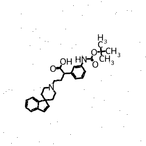 CC(C)(C)OC(=O)Nc1cccc(C(CCN2CCC3(C=Cc4ccccc43)CC2)C(=O)O)c1